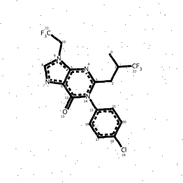 CC(Cc1nc2c(ncn2CC(F)(F)F)c(=O)n1-c1ccc(Cl)cc1)C(F)(F)F